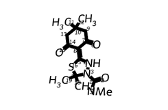 CNC(=O)N1NC(=C2C(=O)CC(C)(C)CC2=O)SC1(C)C